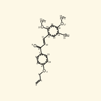 C=CCOc1ccc(C(=O)C=Cc2cc(C(C)(C)C)c(OCCC)cc2OCCC)cc1